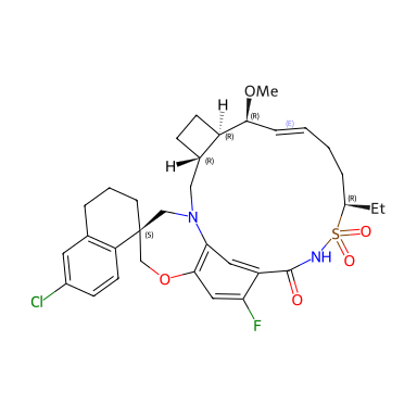 CC[C@@H]1CC/C=C/[C@H](OC)[C@@H]2CC[C@H]2CN2C[C@@]3(CCCc4cc(Cl)ccc43)COc3cc(F)c(cc32)C(=O)NS1(=O)=O